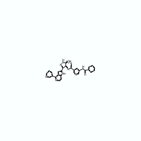 C=C1NN=C(c2cc3c(-c4cccnc4)nccc3[nH]2)/C1=N/C(=C\C)c1cncc(NC(=O)c2ccccc2)c1